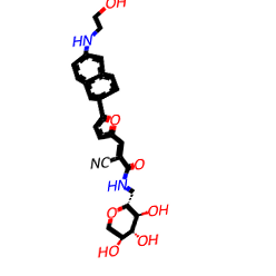 N#C/C(=C\c1ccc(-c2ccc3cc(NCCO)ccc3c2)o1)C(=O)NC[C@H]1OC[C@H](O)[C@@H](O)[C@@H]1O